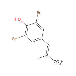 CC(=Cc1cc(Br)c(O)c(Br)c1)C(=O)O